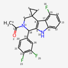 CC(=O)N1CC2(CC2)c2c([nH]c3cccc(F)c23)C1c1ccc(F)c(F)c1